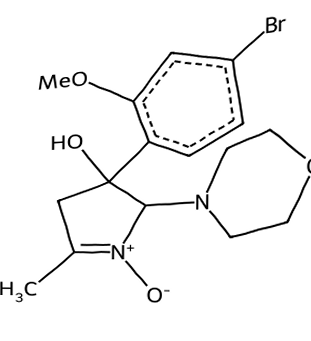 COc1cc(Br)ccc1C1(O)CC(C)=[N+]([O-])C1N1CCOCC1